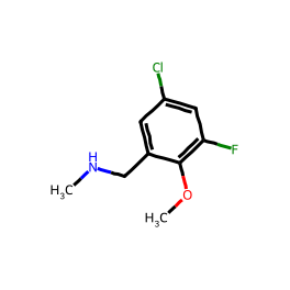 CNCc1cc(Cl)cc(F)c1OC